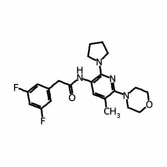 Cc1cc(NC(=O)Cc2cc(F)cc(F)c2)c(N2CCCC2)nc1N1CCOCC1